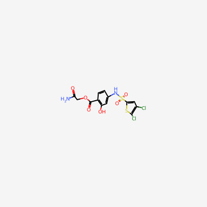 NC(=O)COC(=O)c1ccc(NS(=O)(=O)c2cc(Cl)c(Cl)s2)cc1O